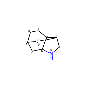 C1CC2C3CNC2CC1C3